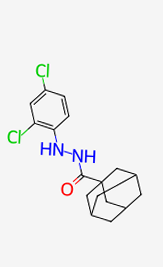 O=C(NNc1ccc(Cl)cc1Cl)C12CC3CC(CC(C3)C1)C2